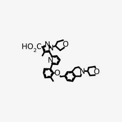 Cc1cccc(-c2cccc(-c3c(C)c(C(=O)O)nn3C3CCOCC3)n2)c1OCc1ccc2c(c1)CCN(C1CCOCC1)C2